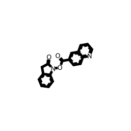 O=C(ON1C(=O)Cc2ccccc21)c1ccc2ncccc2c1